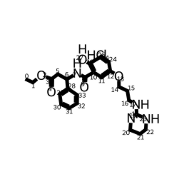 CCOC(=O)CC(NC(=O)c1cc(OCCCNC2=NCCCN2)ccc1O)c1ccccc1.Cl